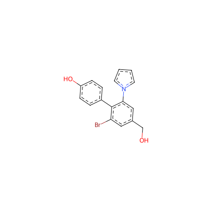 OCc1cc(Br)c(-c2ccc(O)cc2)c(-n2cccc2)c1